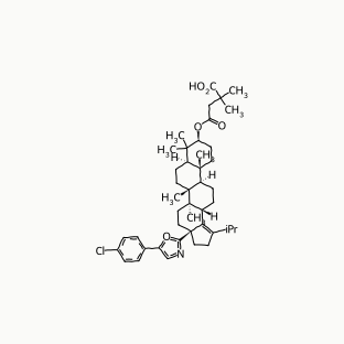 CC(C)C1=C2[C@H]3CC[C@@H]4[C@@]5(C)CC[C@H](OC(=O)CC(C)(C)C(=O)O)C(C)(C)[C@@H]5CC[C@@]4(C)[C@]3(C)CC[C@@]2(c2ncc(-c3ccc(Cl)cc3)o2)CC1